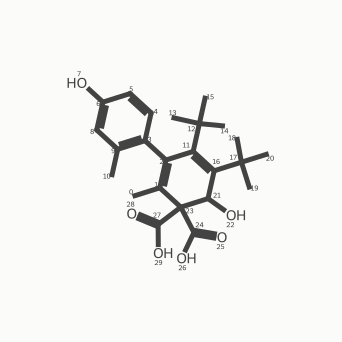 CC1=C(c2ccc(O)cc2C)C(C(C)(C)C)=C(C(C)(C)C)C(O)C1(C(=O)O)C(=O)O